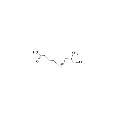 CCC(C)C/C=C\CCCC(=O)O